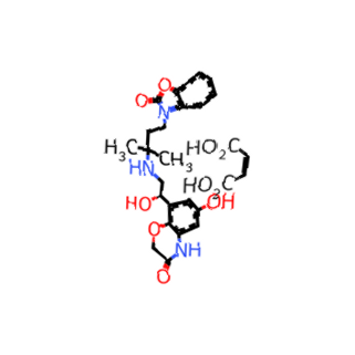 CC(C)(CCn1c(=O)oc2ccccc21)NC[C@H](O)c1cc(O)cc2c1OCC(=O)N2.O=C(O)/C=C\C(=O)O